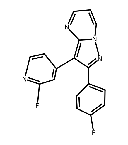 Fc1ccc(-c2nn3cccnc3c2-c2ccnc(F)c2)cc1